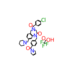 O=C(O)C(F)(F)F.O=C(c1ccc(CN2C(=O)CN(C(=O)c3ccc(Cl)cc3)Cc3ccc(CN4CCCCC4)cc32)cc1)N1CC=CC1